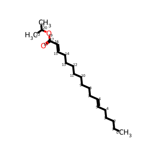 CCCCCC=CCCCCCCCCC=CC(=O)OC(C)C